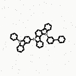 c1ccc(-c2cccc(-n3c4ccccc4c4ccc5c(c6ccccc6n5-c5ccc6c(c5)c5ccccc5n6-c5ccccc5)c43)c2)cc1